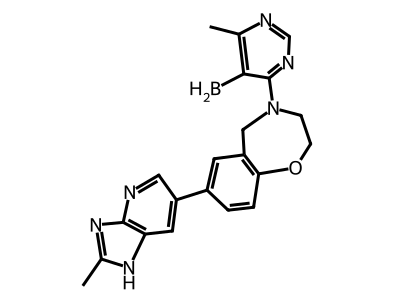 Bc1c(C)ncnc1N1CCOc2ccc(-c3cnc4nc(C)[nH]c4c3)cc2C1